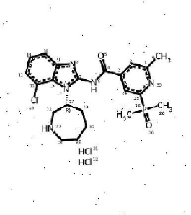 Cc1cc(C(=O)Nc2nc3cccc(Cl)c3n2[C@@H]2CCCCNC2)cc(P(C)(C)=O)n1.Cl.Cl